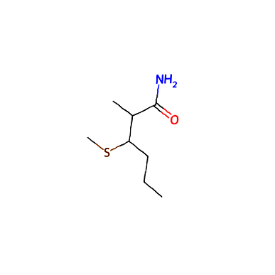 CCCC(SC)C(C)C(N)=O